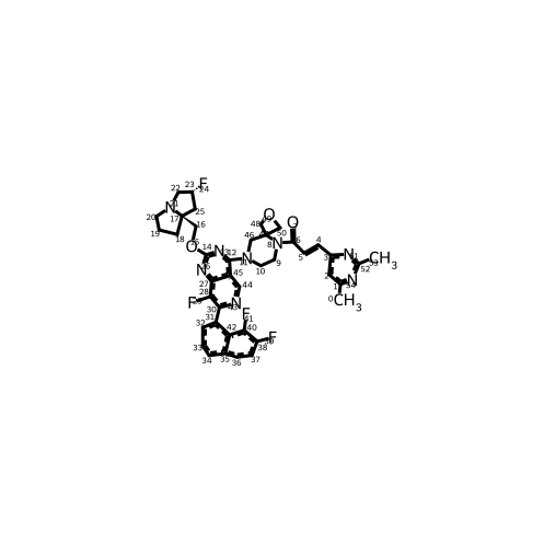 Cc1cc(/C=C/C(=O)N2CCN(c3nc(OC[C@@]45CCCN4C[C@H](F)C5)nc4c(F)c(-c5cccc6ccc(F)c(F)c56)ncc34)CC23COC3)nc(C)n1